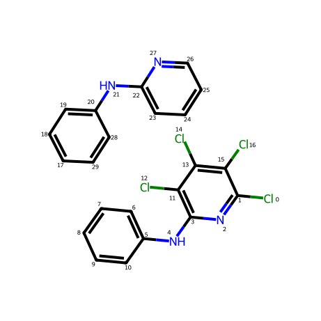 Clc1nc(Nc2ccccc2)c(Cl)c(Cl)c1Cl.c1ccc(Nc2ccccn2)cc1